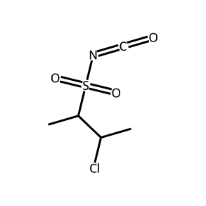 CC(Cl)C(C)S(=O)(=O)N=C=O